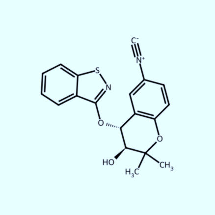 [C-]#[N+]c1ccc2c(c1)[C@@H](Oc1nsc3ccccc13)[C@H](O)C(C)(C)O2